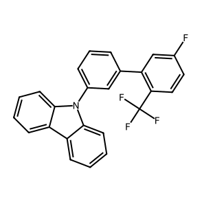 Fc1ccc(C(F)(F)F)c(-c2cccc(-n3c4ccccc4c4ccccc43)c2)c1